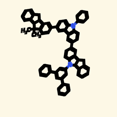 CC1(C)c2ccc(-c3ccc4c(c3)c3cc(-c5ccc6c(c5)C5Cc7ccccc7C5N6c5cc(-c6ccccc6)cc(-c6ccccc6)c5)ccc3n4-c3ccccc3)cc2C2Cc3ccccc3C21